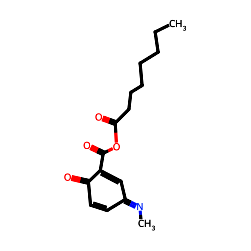 CCCCCCCC(=O)OC(=O)C1=C/C(=N/C)C=CC1=O